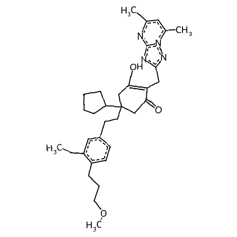 CCc1cc(CCC2(C3CCCC3)CC(=O)C(Cc3nc4nc(C)cc(C)n4n3)=C(O)C2)ccc1CCCOC